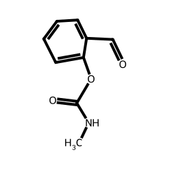 CNC(=O)Oc1ccccc1C=O